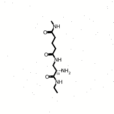 CCNC(=O)[C@@H](N)CNC(=O)CCCC(=O)NC